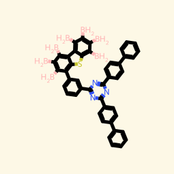 Bc1c(B)c(B)c2c(sc3c(-c4cccc(-c5nc(-c6ccc(-c7ccccc7)cc6)nc(-c6ccc(-c7ccccc7)cc6)n5)c4)c(B)c(B)c(B)c32)c1B